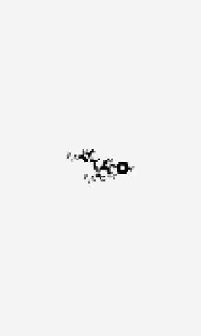 Cc1nc(C(F)(F)F)cn1[C@@H](C)CN(C(=O)C(F)(F)F)c1cnn(-c2ccc(F)cc2)c1C(C)C